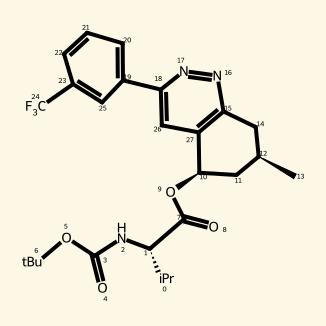 CC(C)[C@H](NC(=O)OC(C)(C)C)C(=O)O[C@@H]1C[C@H](C)Cc2nnc(-c3cccc(C(F)(F)F)c3)cc21